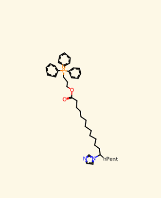 CCCCCC(CCCCCCCCCCCC(=O)OCCC[PH](c1ccccc1)(c1ccccc1)c1ccccc1)n1ccnc1